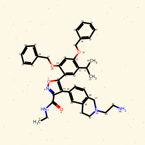 CCNC(=O)c1noc(-c2cc(C(C)C)c(OCc3ccccc3)cc2OCc2ccccc2)c1-c1ccc2c(c1)CCN(CCN)C2